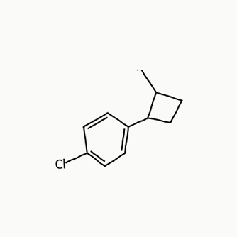 [CH2]C1CCC1c1ccc(Cl)cc1